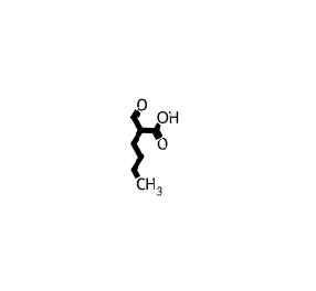 CCCCC(C=O)C(=O)O